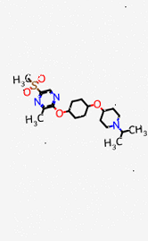 Cc1nc(S(C)(=O)=O)cnc1OC1CCC(OC2CCN(C(C)C)CC2)CC1